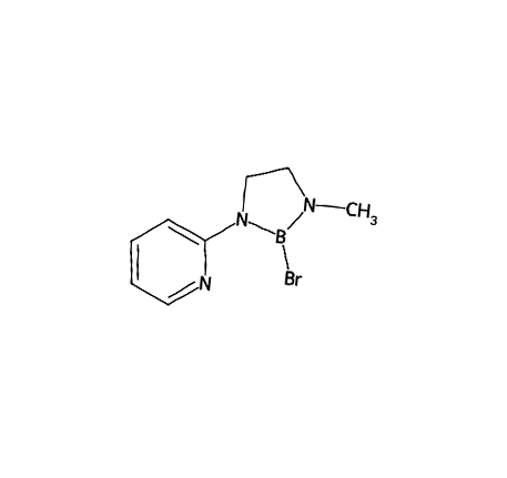 CN1CCN(c2ccccn2)B1Br